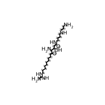 N=C(N)NCCCCCCCCCCC(=O)C(N)C(O)CC(=O)NCCCCNCCCN